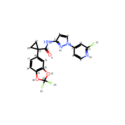 O=C(Nc1ccn(-c2ccnc(F)c2)n1)C1(c2ccc3c(c2)OC(F)(F)O3)CC1